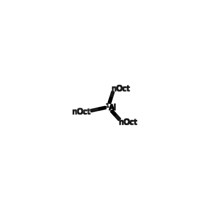 CCCCCCC[CH2][1Al]([CH2]CCCCCCC)[CH2]CCCCCCC